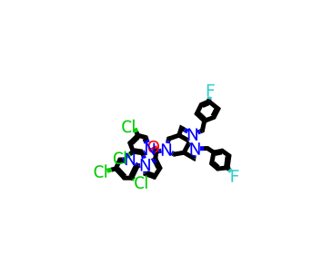 O=C(C1=CC=C[N+]1(c1ncc(Cl)cc1Cl)c1ncc(Cl)cc1Cl)N(CC1CN(Cc2ccc(F)cc2)C1)CC1CN(Cc2ccc(F)cc2)C1